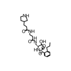 CCCc1ccccc1S(=O)(=O)N[C@@H](CNC(=O)CCNC(=O)CCC1CCNCC1)C(=O)O